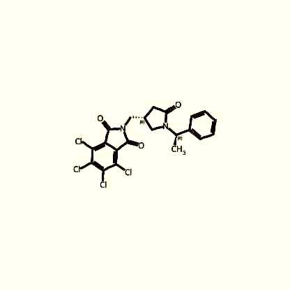 C[C@H](c1ccccc1)N1C[C@H](CN2C(=O)c3c(Cl)c(Cl)c(Cl)c(Cl)c3C2=O)CC1=O